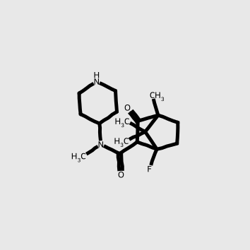 CN(C(=O)C1C(=O)C2(C)CCC1(F)C2(C)C)C1CCNCC1